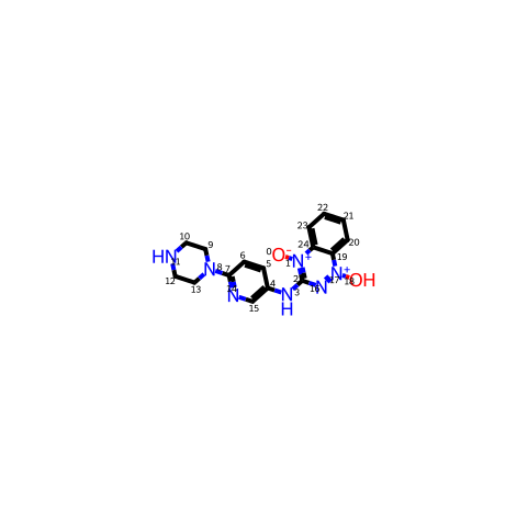 [O-][n+]1c(Nc2ccc(N3CCNCC3)nc2)n[n+](O)c2ccccc21